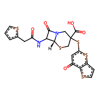 O=C(Cc1cccs1)NC1C(=O)N2CC(Sc3cc(=O)c4sccc4s3)(C(=O)O)CS[C@H]12